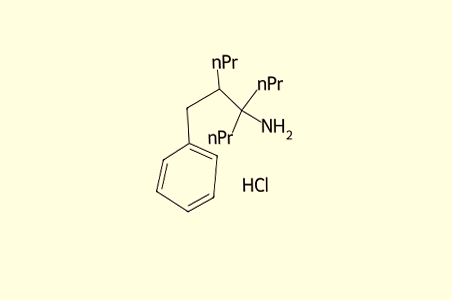 CCCC(Cc1ccccc1)C(N)(CCC)CCC.Cl